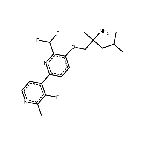 Cc1nccc(-c2ccc(OCC(C)(N)CC(C)C)c(C(F)F)n2)c1F